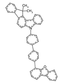 CC1(C)c2ccccc2-c2ccc3c(c21)c1ccccc1n3-c1ccc(-c2ccc(-c3cccc4c3oc3ccccc34)cc2)cc1